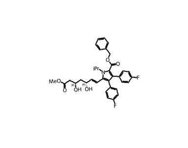 COC(=O)C[C@H](O)C[C@@H](O)C=Cc1c(-c2ccc(F)cc2)c(-c2ccc(F)cc2)c(C(=O)OCc2ccccc2)n1C(C)C